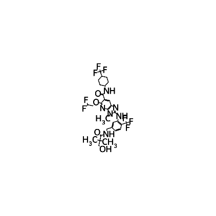 Cn1c(Nc2cc(CNC(=O)C(C)(C)CO)ccc2C(F)(F)F)nc2cc(C(=O)N[C@H]3CC[C@H](C(F)(F)F)CC3)c(OCC(F)F)nc21